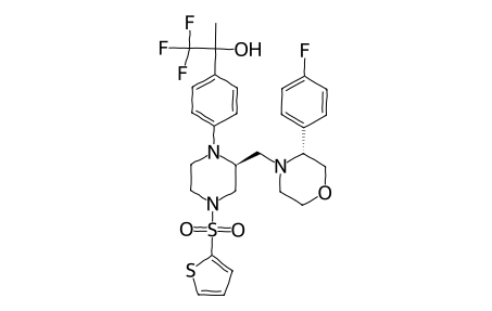 CC(O)(c1ccc(N2CCN(S(=O)(=O)c3cccs3)C[C@@H]2CN2CCOC[C@H]2c2ccc(F)cc2)cc1)C(F)(F)F